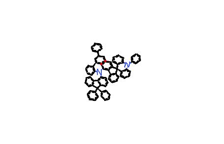 c1ccc(-c2cccc(-c3ccccc3N(c3cccc4c3-c3ccccc3C4(c3ccccc3)c3ccccc3)c3cccc4c3-c3ccccc3C43c4ccccc4N(c4ccccc4)c4ccccc43)c2)cc1